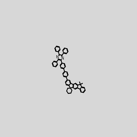 CC1(C)c2ccccc2-c2cc3c(cc21)-c1cc(-c2ccc(-c4ccc(-c5nc(-c6ccccc6)c(-c6ccccc6)nc5-c5ccccc5)cc4)cc2)ccc1C31CCCCC1